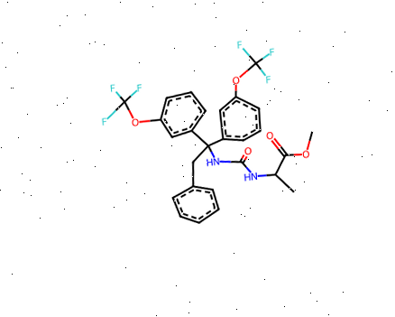 COC(=O)C(C)NC(=O)NC(Cc1ccccc1)(c1cccc(OC(F)(F)F)c1)c1cccc(OC(F)(F)F)c1